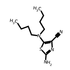 CCCCN(CCCC)c1sc(N)nc1C#N